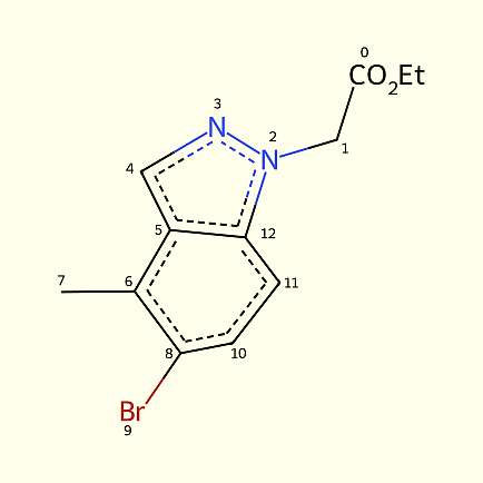 CCOC(=O)Cn1ncc2c(C)c(Br)ccc21